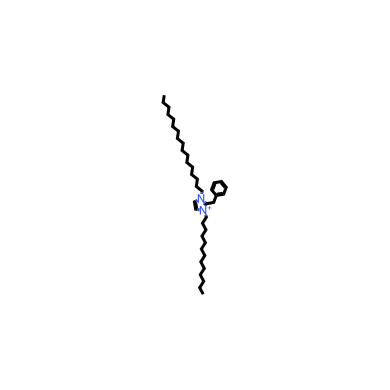 CCCCCCCCCCCCCCCCCn1cc[n+](CCCCCCCCCCCCC)c1Cc1ccccc1